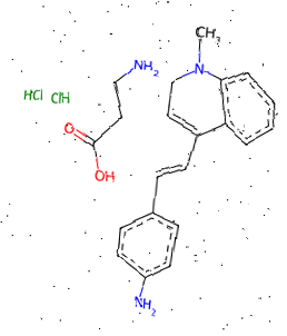 CN1CC=C(C=Cc2ccc(N)cc2)c2ccccc21.Cl.Cl.NCCC(=O)O